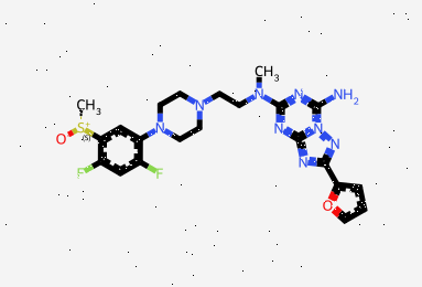 CN(CCN1CCN(c2cc([S@@+](C)[O-])c(F)cc2F)CC1)c1nc(N)n2nc(-c3ccco3)nc2n1